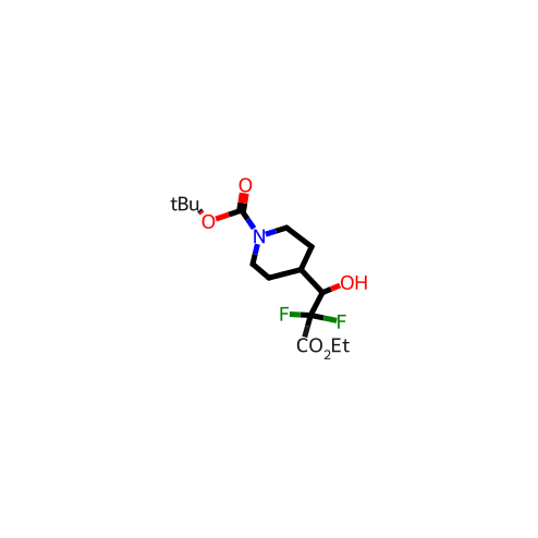 CCOC(=O)C(F)(F)C(O)C1CCN(C(=O)OC(C)(C)C)CC1